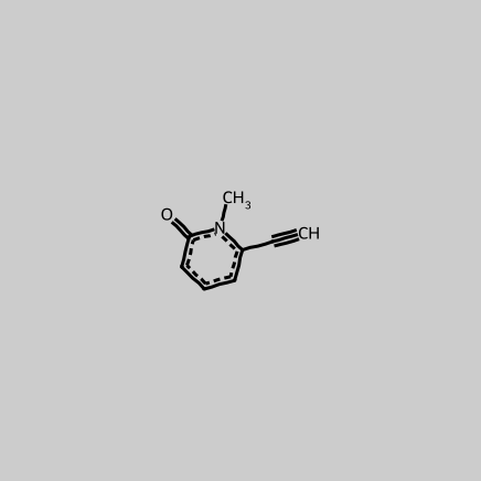 C#Cc1cccc(=O)n1C